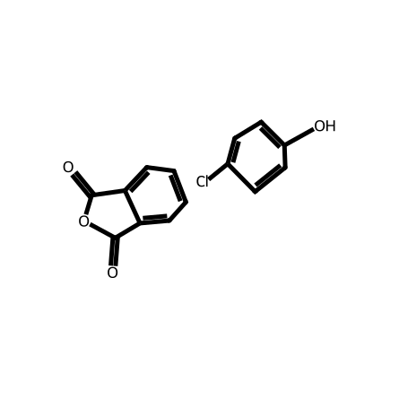 O=C1OC(=O)c2ccccc21.Oc1ccc(Cl)cc1